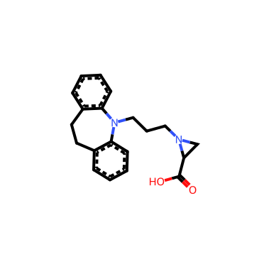 O=C(O)C1CN1CCCN1c2ccccc2CCc2ccccc21